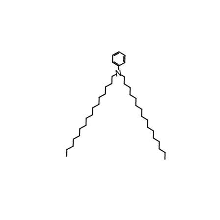 CCCCCCCCCCCCCCCCN(CCCCCCCCCCCCCCCC)c1ccccc1